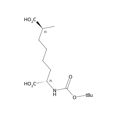 C[C@@H](CCCC[C@H](NC(=O)OC(C)(C)C)C(=O)O)C(=O)O